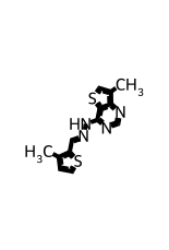 Cc1ccsc1C=NNc1ncnc2c(C)csc12